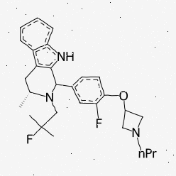 CCCN1CC(Oc2ccc(C3c4[nH]c5ccccc5c4C[C@@H](C)N3CC(C)(C)F)cc2F)C1